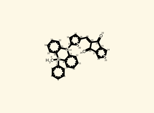 C[Si]1(c2ccccc2)c2ccccc2N(c2ccc(C=C3C(=O)c4cscc4C3=O)s2)c2ccccc21